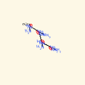 CCCCCCCCC(=O)NC(CCCCN)C(=O)NCCCCCCCC(=O)NC(CCCCN)C(=O)NCCCCCCCC(=O)NC(CCCCN)C(=O)NCCCCCCCC(=O)NC(CCCCN)C(N)=O